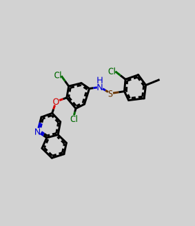 Cc1ccc(SNc2cc(Cl)c(Oc3cnc4ccccc4c3)c(Cl)c2)c(Cl)c1